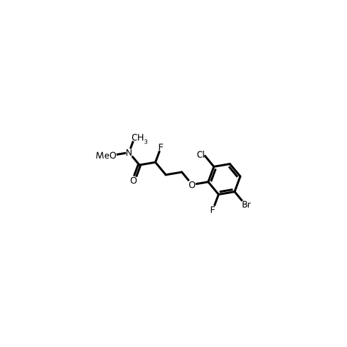 CON(C)C(=O)C(F)CCOc1c(Cl)ccc(Br)c1F